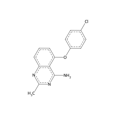 Cc1nc(N)c2c(Oc3ccc(Cl)cc3)cccc2n1